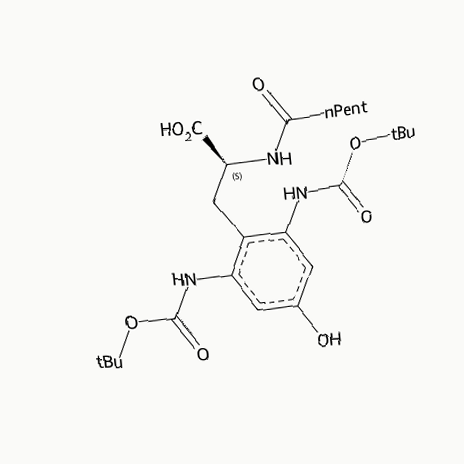 CCCCCC(=O)N[C@@H](Cc1c(NC(=O)OC(C)(C)C)cc(O)cc1NC(=O)OC(C)(C)C)C(=O)O